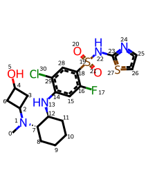 CN(C1CC(O)C1)[C@H]1CCCC[C@@H]1Nc1cc(F)c(S(=O)(=O)Nc2nccs2)cc1Cl